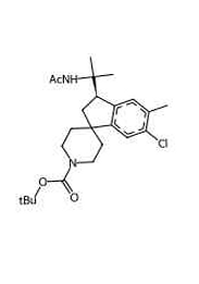 CC(=O)NC(C)(C)[C@@H]1CC2(CCN(C(=O)OC(C)(C)C)CC2)c2cc(Cl)c(C)cc21